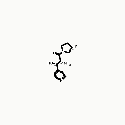 N[C@@H](C(=O)N1CC[C@H](F)C1)[C@@H](O)c1ccncc1